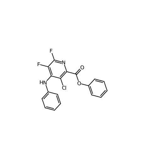 O=C(Oc1ccccc1)c1nc(F)c(F)c(Nc2ccccc2)c1Cl